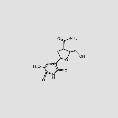 Cc1cn([C@H]2C[C@@H](C(N)=O)[C@@H](CO)O2)c(=O)[nH]c1=O